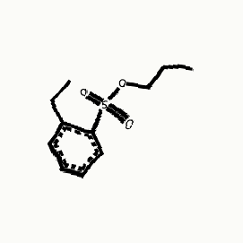 CCCOS(=O)(=O)c1ccccc1CC